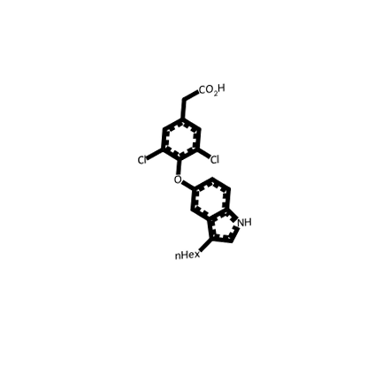 CCCCCCc1c[nH]c2ccc(Oc3c(Cl)cc(CC(=O)O)cc3Cl)cc12